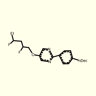 CCCCCCCCCCc1ccc(-c2ncc(OCC(F)CC(F)CC)cn2)cc1